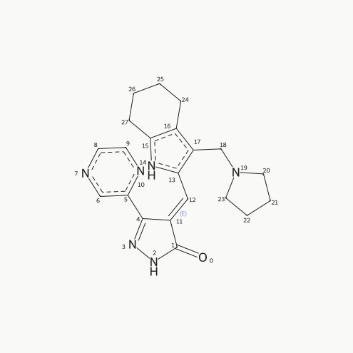 O=C1NN=C(c2cnccn2)/C1=C\c1[nH]c2c(c1CN1CCCC1)CCCC2